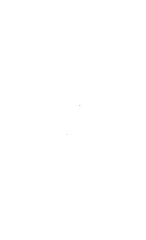 C[Si]1(C)c2ccccc2[Si]2(CC2)c2ccccc21